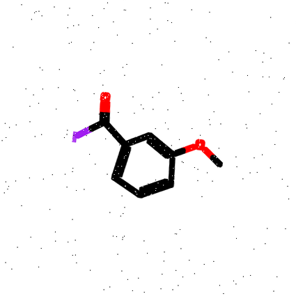 COc1cccc(C(=O)I)c1